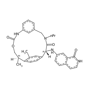 CCCN1Cc2cccc(c2)NC(=O)OC[C@H](C)c2ccc(cc2C)[C@@H](Nc2ccc3cc[nH]c(=O)c3c2)C1=O